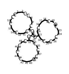 C1CCCCCCCCC(OB(OC2CCCCCCCCCCCCCCCCC2)OC2CCCCCCCCCCCCCCCCC2)CCCCCCCC1